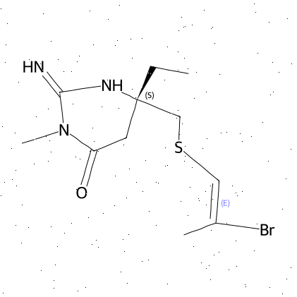 CC[C@@]1(CS/C=C(\C)Br)CC(=O)N(C)C(=N)N1